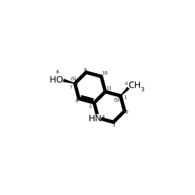 C[C@H]1CCNC2=C[C@@H](O)CCC21